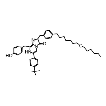 CCCCCCCCCCCCCCc1ccc(Cc2nc3c(Cc4ccc(O)cc4)[nH]c(-c4ccc(C(C)(C)C)cc4)cn-3c2=O)cc1